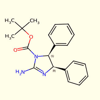 CC(C)(C)OC(=O)N1C(N)=N[C@H](c2ccccc2)[C@@H]1c1ccccc1